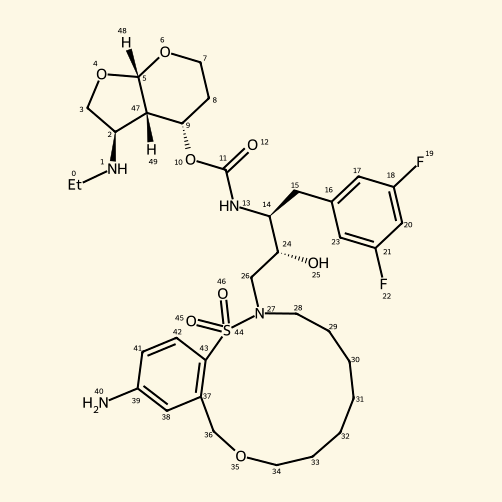 CCN[C@H]1CO[C@@H]2OCC[C@H](OC(=O)N[C@@H](Cc3cc(F)cc(F)c3)[C@H](O)CN3CCCCCCCOCc4cc(N)ccc4S3(=O)=O)[C@@H]21